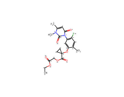 Cn1c(C(F)(F)F)cc(=O)n(-c2cc(OC3(C(=O)OCC(=O)OCC#N)CC3)c([N+](=O)[O-])cc2F)c1=O